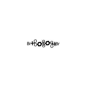 CC(C)(Br)C(=O)Oc1ccc(S(=O)(=O)c2ccc(OC(=O)C(C)(C)Br)cc2)cc1